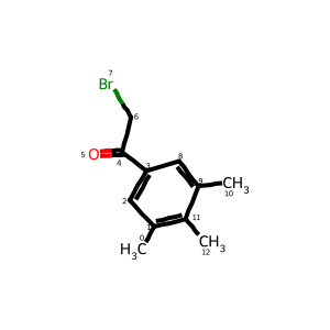 Cc1cc(C(=O)CBr)cc(C)c1C